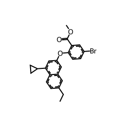 CCc1ccc2c(C3CC3)cc(Oc3ccc(Br)cc3C(=O)OC)cc2c1